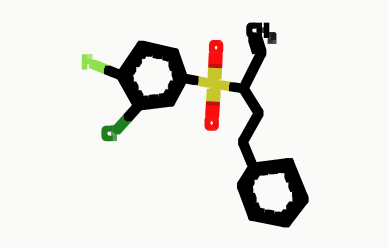 C=CC(CCc1ccccc1)S(=O)(=O)c1ccc(F)c(Cl)c1